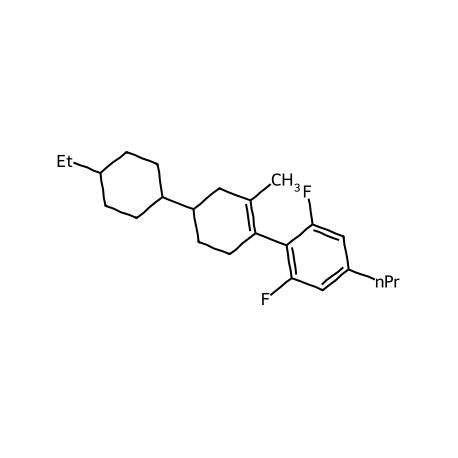 CCCc1cc(F)c(C2=C(C)CC(C3CCC(CC)CC3)CC2)c(F)c1